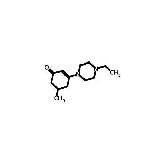 CCN1CCN(C2=CC(=O)CC(C)C2)CC1